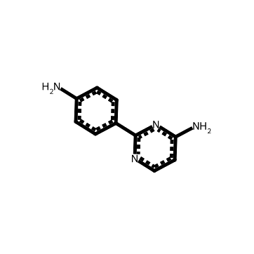 Nc1ccc(-c2nccc(N)n2)cc1